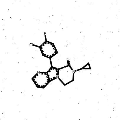 O=C1c2c(-c3ccc(F)c(Cl)c3)c3ncccc3n2CCN1C1CC1